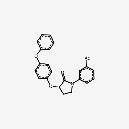 CC(=O)c1cccc(N2CC[C@@H](Oc3ccc(Oc4ccccc4)cc3)C2=O)c1